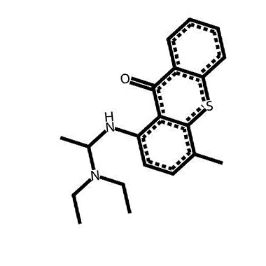 CCN(CC)C(C)Nc1ccc(C)c2sc3ccccc3c(=O)c12